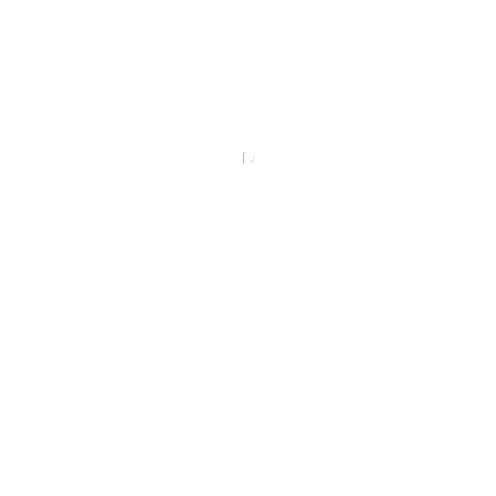 CC(C=CC1=C(C)CCCC1(C)C)=CCBr